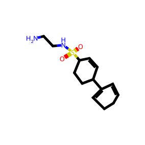 NCCNS(=O)(=O)C1C=CC(C2=CCCC=C2)CC1